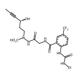 CC#C[C@@H](O)CCN(NC(=O)CNC(=O)c1cc(C(F)(F)F)ccc1NC(=O)NCC)C(=O)O